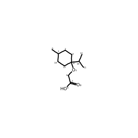 CC1CCC(OCC(=O)O)(C(C)C)CC1